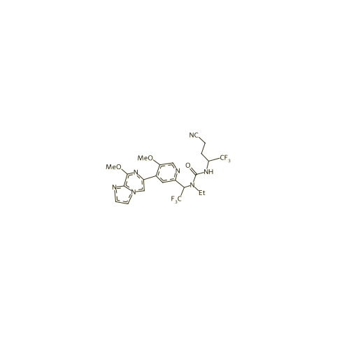 CCN(C(=O)NC(CCC#N)C(F)(F)F)C(c1cc(-c2cn3ccnc3c(OC)n2)c(OC)cn1)C(F)(F)F